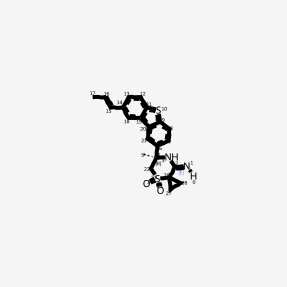 [H]/N=C1/N[C@](C)(c2ccc3sc4ccc(C=CC)cc4c3c2)CS(=O)(=O)C12CC2